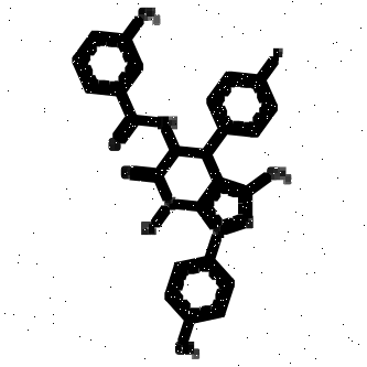 CCN1C(=O)C(NC(=O)c2cccc(C(F)(F)F)c2)C(c2ccc(F)cc2)c2c(C)nn(-c3ccc(C)cc3)c21